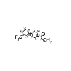 C=CC(=O)N1CCN(c2cccc(C(F)(F)F)c2)CC1